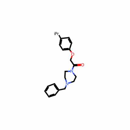 CC(C)c1ccc(OCC(=O)N2CCN(Cc3ccccc3)CC2)cc1